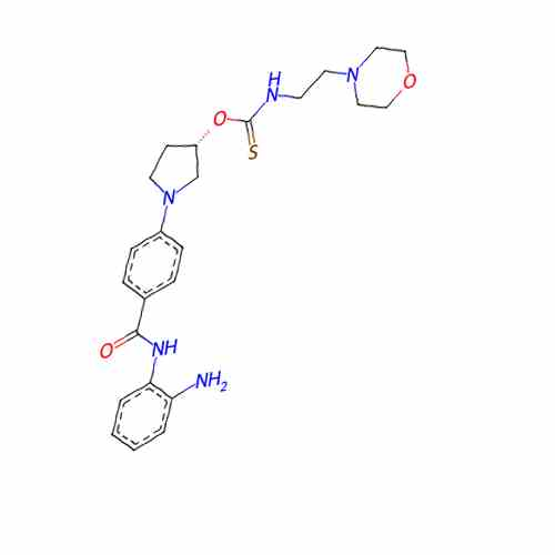 Nc1ccccc1NC(=O)c1ccc(N2CC[C@H](OC(=S)NCCN3CCOCC3)C2)cc1